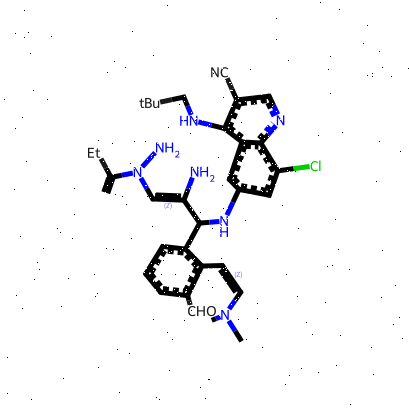 C=C(CC)N(N)/C=C(\N)C(Nc1cc(Cl)c2ncc(C#N)c(NCC(C)(C)C)c2c1)c1cccc(C=O)c1/C=C\N(C)C